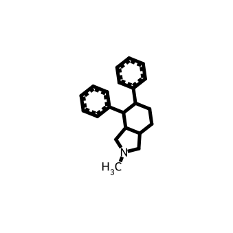 CN1CC2CCC(c3ccccc3)C(c3ccccc3)C2C1